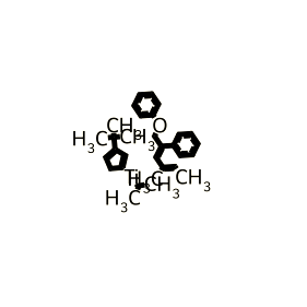 CC=C(C)C=C(COc1ccccc1)c1ccccc1.C[C](C)=[Ti][C]1=CC(C(C)(C)C)=CC1